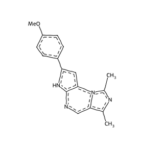 COc1ccc(-c2cc3c(ncc4c(C)nc(C)n43)[nH]2)cc1